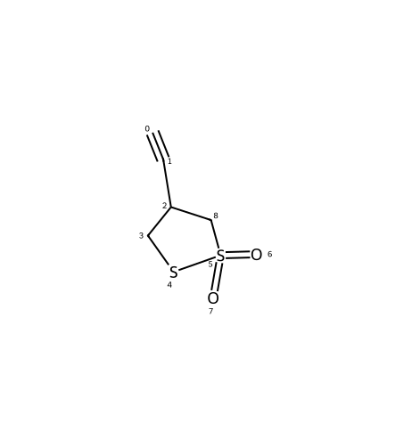 C#CC1CSS(=O)(=O)C1